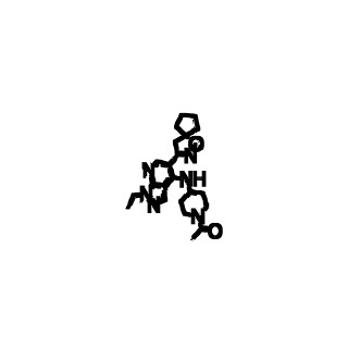 CCn1ncc2c(NC3CCN(C(C)=O)CC3)c(C3=NOC4(CCCC4)C3)cnc21